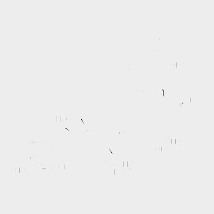 C=C1OC(=O)C(C(=O)C[C@@H]2O[C@@H]([C@@H](C)C(O)C(CC)C(=O)C(C)(O)[C@@H]3CC[C@@](CC)([C@@H]4CCC(O)(C(C)OC)[C@@H](C)O4)O3)[C@@H](C)C[C@@H]2C)=C1O